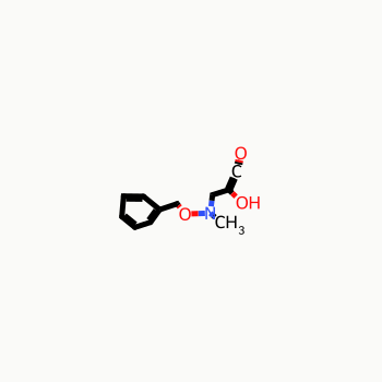 CN(CC(O)=C=O)OCc1ccccc1